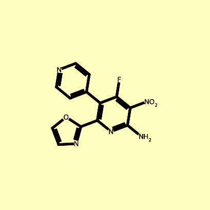 Nc1nc(-c2ncco2)c(-c2ccncc2)c(F)c1[N+](=O)[O-]